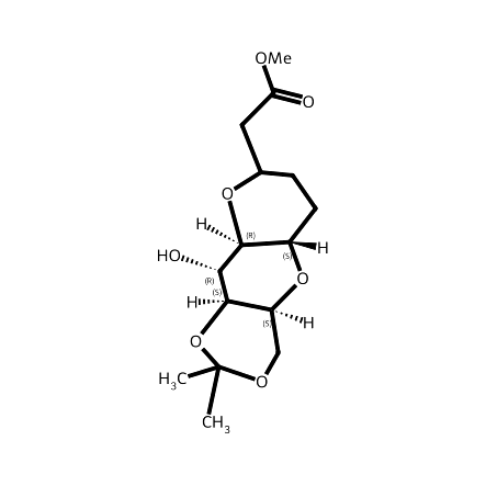 COC(=O)CC1CC[C@@H]2O[C@H]3COC(C)(C)O[C@H]3[C@H](O)[C@H]2O1